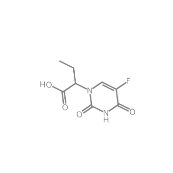 CCC(C(=O)O)n1cc(F)c(=O)[nH]c1=O